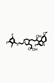 COc1ccc2ncc(F)c(C(O)CCC3CCN(CCSc4cc(F)cc(F)c4F)CC3CC(=O)O)c2c1